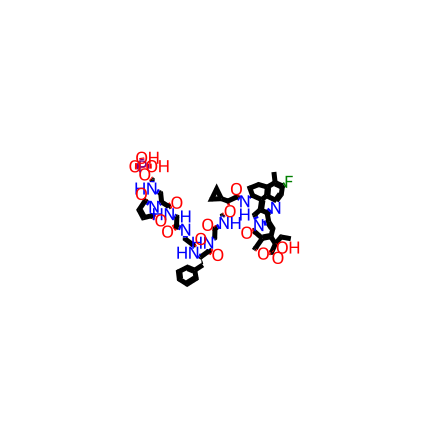 CC[C@@]1(O)C(=O)OCc2c1cc1n(c2=O)Cc2c-1nc1cc(F)c(C)c3c1c2[C@@H](NC(=O)[C@@H](OCNC(=O)CNC(=O)[C@H](Cc1ccccc1)NC(=O)CNC(=O)CNC(=O)C(CNCOP(=O)(O)O)N1C(=O)C=CC1=O)C1CC1)CC3